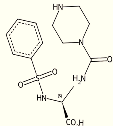 C[C@H](NS(=O)(=O)c1ccccc1)C(=O)O.NC(=O)N1CCNCC1